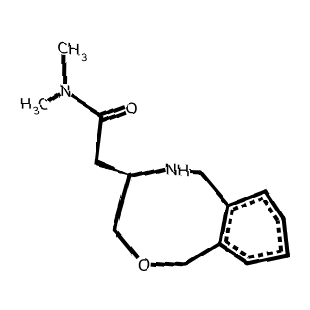 CN(C)C(=O)C[C@@H]1COCc2ccccc2CN1